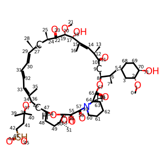 CO[C@@H]1C[C@H](C[C@@H](C)[C@@H]2CC(=O)[C@H](C)/C=C(\C)[C@@H](O)[C@@H](OC)C(=O)[C@H](C)C[C@H](C)/C=C/C=C/C=C(\C)[C@@H](OC(C)(C)CC[SH](=O)=O)C[C@@H]3CC[C@@H](C)[C@@](O)(O3)C(=O)C(=O)N3CCCC[C@H]3C(=O)O2)CC[C@H]1O